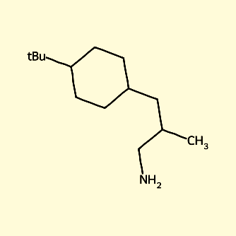 CC(CN)CC1CCC(C(C)(C)C)CC1